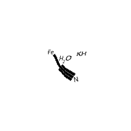 N#[C][Fe].O.[KH]